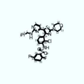 CC(C)CNc1nccc(-c2sc(N3CCOCC3)nc2-c2cccc(NS(=O)(=O)c3cc(F)ccc3F)c2Cl)n1